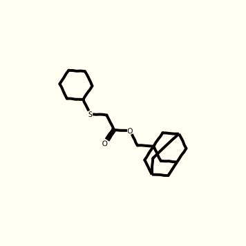 O=C(CSC1CCCCC1)OCC12CC3CC(CC(C3)C1)C2